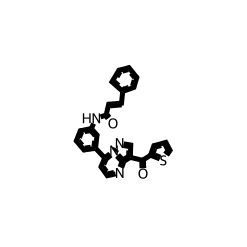 O=C(C=Cc1ccccc1)Nc1cccc(-c2ccnc3c(C(=O)c4cccs4)cnn23)c1